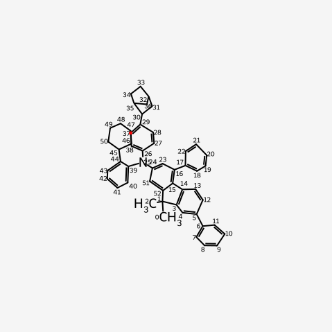 CC1(C)c2cc(-c3ccccc3)ccc2-c2c(-c3ccccc3)cc(N(c3ccc(C4CC5CCC4C5)cc3)c3ccccc3C3CCCCC3)cc21